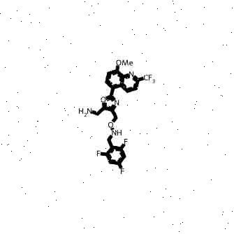 COc1ccc(-c2nc(CONCc3c(F)cc(F)cc3F)c(CN)o2)c2ccc(C(F)(F)F)nc12